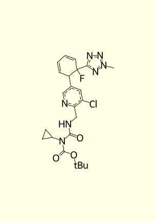 Cn1nnc(C2(F)C=CC=CC2c2cnc(CNC(=O)N(C(=O)OC(C)(C)C)C3CC3)c(Cl)c2)n1